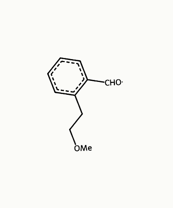 COCCc1ccccc1[C]=O